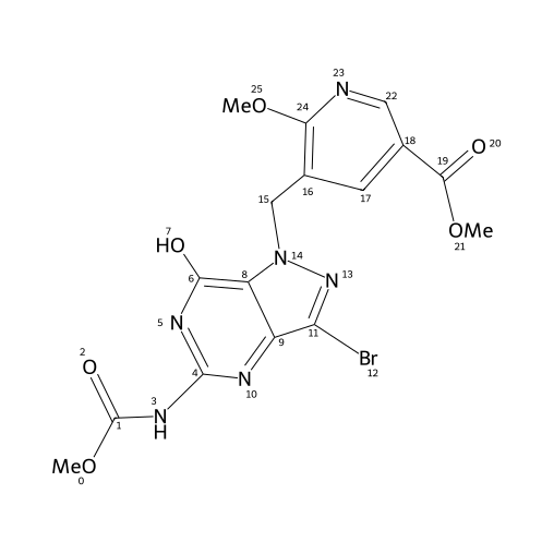 COC(=O)Nc1nc(O)c2c(n1)c(Br)nn2Cc1cc(C(=O)OC)cnc1OC